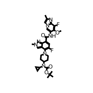 COc1c(NC(=O)c2cc(F)c(N3CCC(N(C(=O)OC(C)(C)C)C4CC4)CC3)c3cn(C)nc23)cn2cc(C)nc2c1F